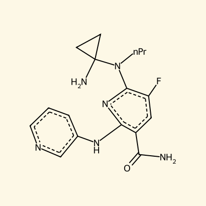 CCCN(c1nc(Nc2cccnc2)c(C(N)=O)cc1F)C1(N)CC1